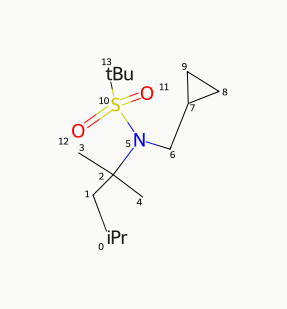 CC(C)CC(C)(C)N(CC1CC1)S(=O)(=O)C(C)(C)C